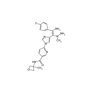 CN(N)/C(=C(\N)c1ccc(F)cc1)c1cn(-c2ccc(C(=O)NC3(C)COC3)cn2)cn1